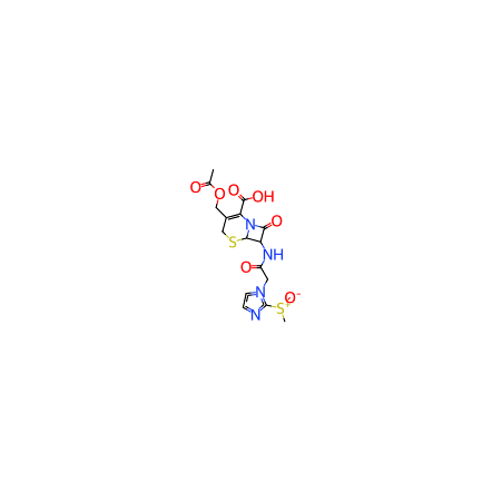 CC(=O)OCC1=C(C(=O)O)N2C(=O)C(NC(=O)Cn3ccnc3[S+](C)[O-])C2SC1